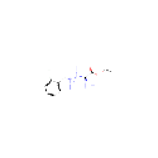 CCOC(=O)C(=N)NNCc1ccccc1F